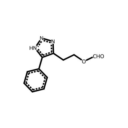 O=COCCc1nn[nH]c1-c1ccccc1